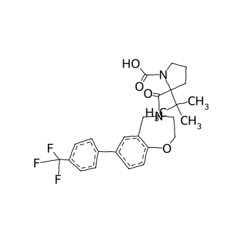 CC(C)(C)C1(C(=O)N2CCOc3ccc(-c4ccc(C(F)(F)F)cc4)cc3C2)CCCN1C(=O)O